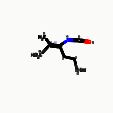 CCCCCCCC/C(N=C=O)=C(/C)C(=O)O